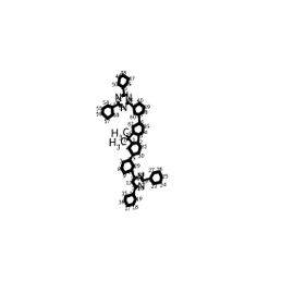 CC1(C)c2cc(-c3cccc(-c4cc(-c5ccccc5)nc(-c5ccccc5)n4)c3)ccc2-c2ccc(-c3cccc(-c4nc(-c5ccccc5)nc(-c5ccccc5)n4)c3)cc21